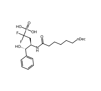 CCCCCCCCCCCCCCCC(=O)N[C@H](CC(F)(F)P(=O)(O)O)[C@@H](O)c1ccccc1